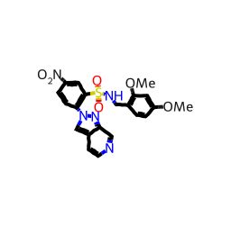 COc1ccc(CNS(=O)(=O)c2cc([N+](=O)[O-])ccc2-n2cc3ccncc3n2)c(OC)c1